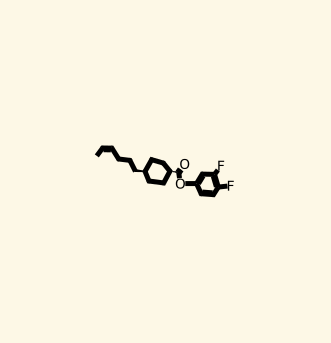 C/C=C\CCC[C@H]1CC[C@H](C(=O)Oc2ccc(F)c(F)c2)CC1